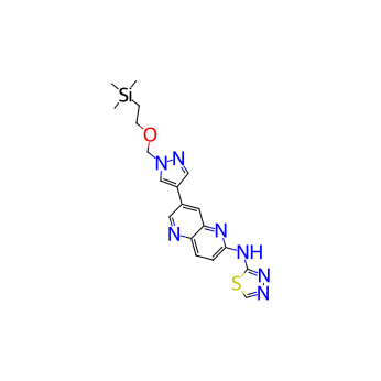 C[Si](C)(C)CCOCn1cc(-c2cnc3ccc(Nc4nncs4)nc3c2)cn1